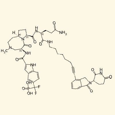 CN1CC[C@H]2CC[C@@H](C(=O)N[C@@H](CCC(N)=O)C(=O)NCCCCCCC#Cc3cccc4c3CN(C3CCC(=O)NC3=O)C4=O)N2C(=O)[C@@H](NC(=O)c2cc3cc(C(F)(F)P(=O)(O)O)ccc3[nH]2)C1